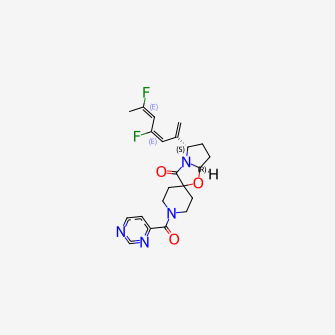 C=C(/C=C(F)\C=C(/C)F)[C@@H]1CC[C@H]2OC3(CCN(C(=O)c4ccncn4)CC3)C(=O)N21